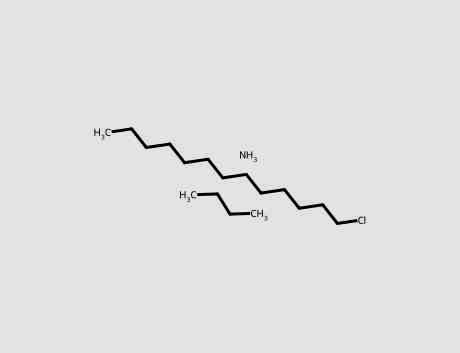 CCCC.CCCCCCCCCCCCCCl.N